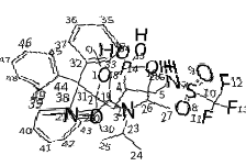 COC(CC(CNS(=O)(=O)C(F)(F)F)P(O)(O)(O)CC(C#N)N(C(C)C)C(C)C)(OC)C(c1ccccc1)(c1ccccc1)c1ccccc1